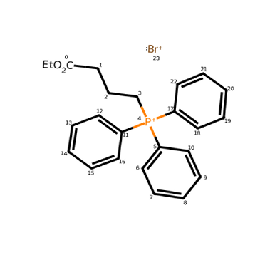 CCOC(=O)CCC[P+](c1ccccc1)(c1ccccc1)c1ccccc1.[Br+]